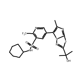 Cc1nc2sc(C(C)(C)O)nn2c1-c1cnc(C(F)(F)F)c(S(=O)(=O)NC2CCCCC2)c1